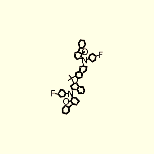 CC1(C)c2cc3cc(N(c4ccc(F)cc4)c4cccc5c4oc4ccccc45)ccc3cc2-c2c1cc(N(c1ccc(F)cc1)c1cccc3c1oc1ccccc13)c1ccccc21